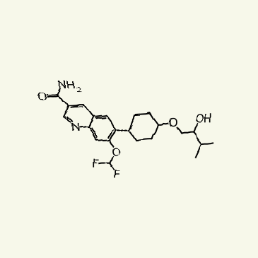 CC(C)C(O)COC1CCC(c2cc3cc(C(N)=O)cnc3cc2OC(F)F)CC1